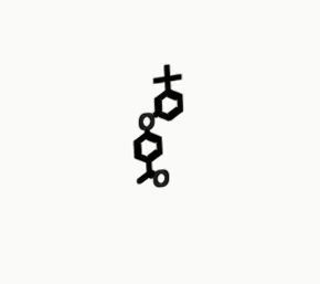 CC(=O)c1ccc(Oc2cccc(C(C)(C)C)c2)cc1